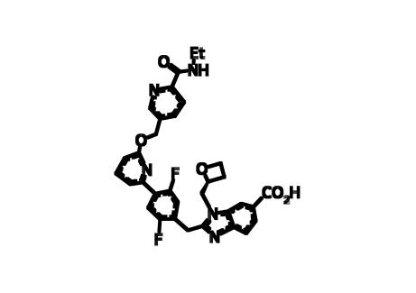 CCNC(=O)c1ccc(COc2cccc(-c3cc(F)c(Cc4nc5ccc(C(=O)O)cc5n4C[C@@H]4CCO4)cc3F)n2)cn1